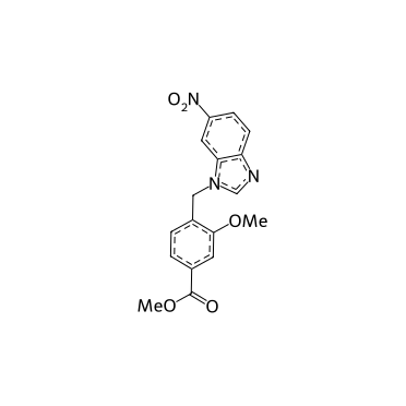 COC(=O)c1ccc(Cn2cnc3ccc([N+](=O)[O-])cc32)c(OC)c1